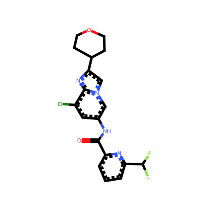 O=C(Nc1cc(Cl)c2nc(C3CCOCC3)cn2c1)c1cccc(C(F)F)n1